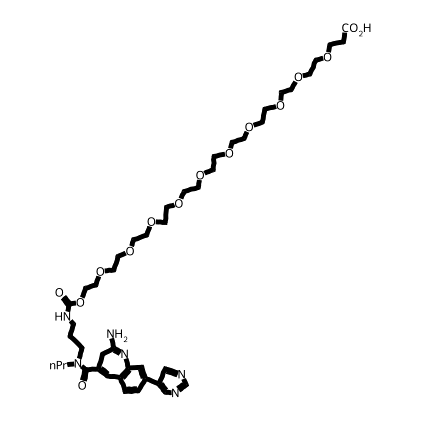 CCCN(CCCNC(=O)OCCOCCOCCOCCOCCOCCOCCOCCOCCOCCOCCC(=O)O)C(=O)C1=Cc2ccc(-c3cncnc3)cc2N=C(N)C1